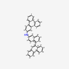 c1ccc(-c2ccccc2-c2ccc(Nc3ccc4c(-c5cc6ccccc6c6ccccc56)cccc4c3)cc2)cc1